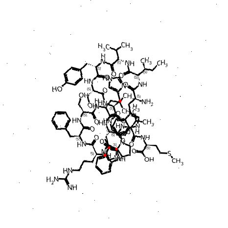 CC[C@H](C)[C@H](NC(=O)[C@@H](N)Cc1c[nH]c2ccccc12)C(=O)N[C@H](C(=O)N[C@@H](Cc1ccc(O)cc1)C(=O)N[C@@H](CO)C(=O)N[C@@H](Cc1c[nH]cn1)C(=O)N[C@@H](Cc1c[nH]cn1)C(=O)N1CCC[C@H]1C(=O)N[C@@H](CCCNC(=N)N)C(=O)N[C@@H](Cc1ccccc1)C(=O)N[C@@H](CO)C(=O)N[C@@H](CC(C)C)C(=O)N[C@@H](Cc1c[nH]c2ccccc12)C(=O)N[C@H](C(=O)N[C@@H](CCSC)C(=O)O)C(C)C)C(C)C